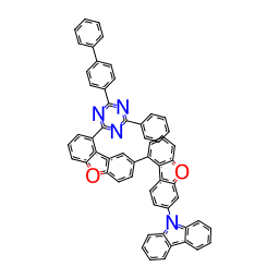 c1ccc(-c2ccc(-c3nc(-c4ccccc4)nc(-c4cccc5oc6ccc(-c7cccc8oc9cc(-n%10c%11ccccc%11c%11ccccc%11%10)ccc9c78)cc6c45)n3)cc2)cc1